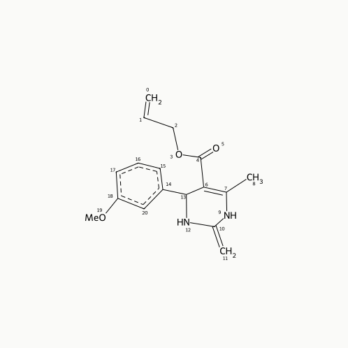 C=CCOC(=O)C1=C(C)NC(=C)NC1c1cccc(OC)c1